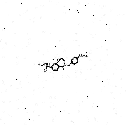 COc1ccc(CN2CCOc3cc(C(=O)NO)ccc3C2C)cc1